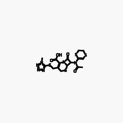 CC(=O)N(C1=CSCCS1)C1C(=O)N2C(C(=O)O)=C(CSc3nnnn3C)CSC12